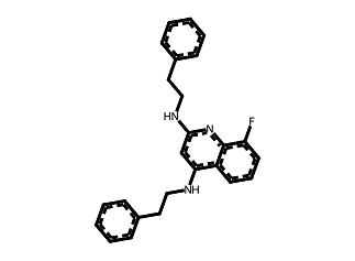 Fc1cccc2c(NCCc3ccccc3)cc(NCCc3ccccc3)nc12